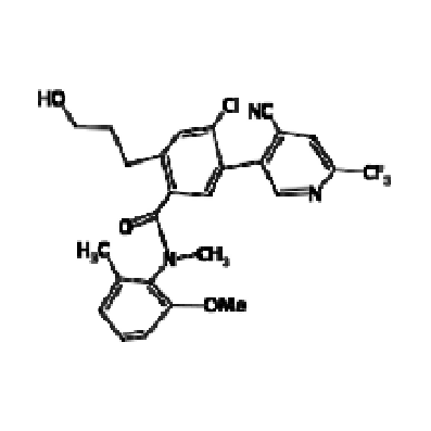 COc1cccc(C)c1N(C)C(=O)c1cc(-c2cnc(C(F)(F)F)cc2C#N)c(Cl)cc1CCCO